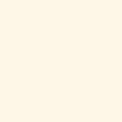 CC(C)c1ccc([N+](=O)[O-])cc1CCl